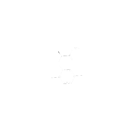 COC(=O)[C@H](C)Oc1cc(C=O)ccc1Cl